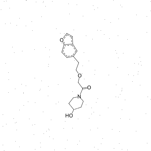 O=C(COCCc1ccc2occc2c1)N1CCC(O)CC1